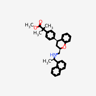 COC(=O)C(C)(C)c1ccc([C@@H]2C[C@H](CN[C@H](C)c3cccc4ccccc34)Oc3ccccc32)cc1